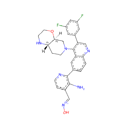 Nc1c(/C=N/O)ccnc1-c1ccc2ncc(-c3cc(F)cc(F)c3)c(N3CC[C@@H]4NCCO[C@H]4C3)c2c1